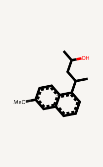 COc1ccc2c(C(C)CC(C)O)cccc2c1